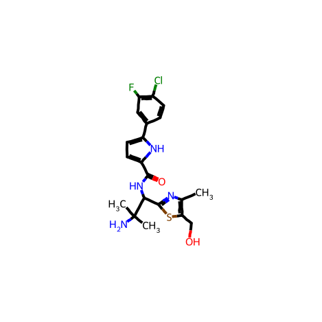 Cc1nc(C(NC(=O)c2ccc(-c3ccc(Cl)c(F)c3)[nH]2)C(C)(C)N)sc1CO